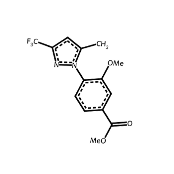 COC(=O)c1ccc(-n2nc(C(F)(F)F)cc2C)c(OC)c1